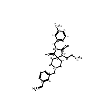 C=Cc1cccc(CN2CCC3(CC2)C(=O)N(Cc2cccc(OC)c2)C(=O)N3CCOC)c1